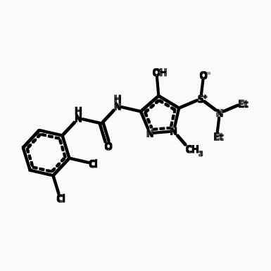 CCN(CC)[S+]([O-])c1c(O)c(NC(=O)Nc2cccc(Cl)c2Cl)nn1C